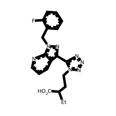 CCC(CCn1nnnc1-c1nn(Cc2ccccc2F)c2ncccc12)C(=O)O